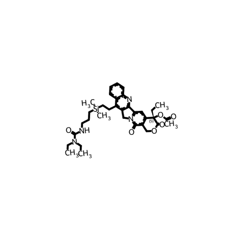 CCN(CC)C(=O)NCCC[Si](C)(C)CCc1c2c(nc3ccccc13)-c1cc3c(c(=O)n1C2)COC(=O)[C@@]3(CC)OC(C)=O